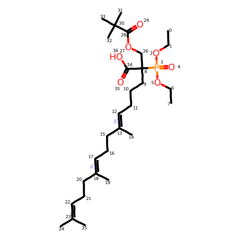 CCOP(=O)(OCC)C(CCC/C=C(\C)CC/C=C(\C)CCC=C(C)C)(COC(=O)C(C)(C)C)C(=O)O